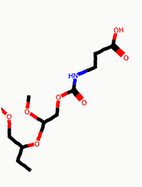 CCC(COC)OC(COC(=O)NCCC(=O)O)OC